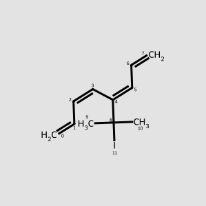 C=C/C=C\C(=C/C=C)C(C)(C)I